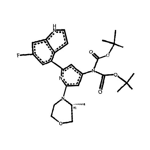 C[C@@H]1COCCN1c1cc(N(C(=O)OC(C)(C)C)C(=O)OC(C)(C)C)cc(-c2cc(F)cc3[nH]ccc23)n1